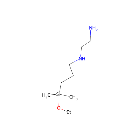 CCO[Si](C)(C)CCCNCCN